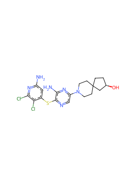 Nc1cc(Sc2ncc(N3CCC4(CC[C@@H](O)C4)CC3)nc2N)c(Cl)c(Cl)n1